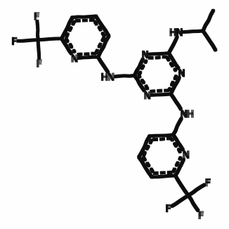 CC(C)Nc1nc(Nc2cccc(C(F)(F)F)n2)nc(Nc2cccc(C(F)(F)F)n2)n1